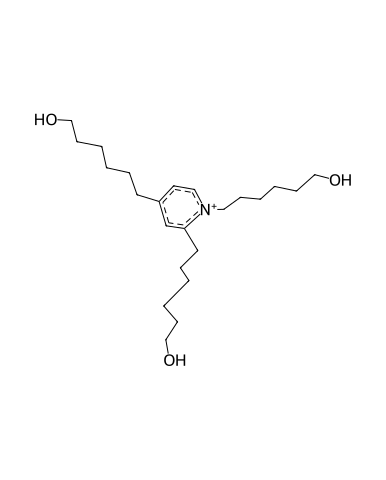 OCCCCCCc1cc[n+](CCCCCCO)c(CCCCCCO)c1